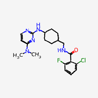 CN(C)c1ccnc(NC2CCC(CNC(=O)c3c(F)cccc3Cl)CC2)n1